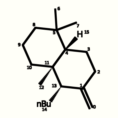 C=C1CC[C@H]2C(C)(C)CCC[C@]2(C)[C@H]1CCCC